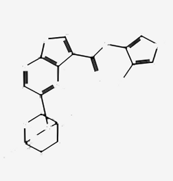 O=C(Nc1cscc1Br)c1csc2ncc(N3C[C@H]4CC[C@@H]3CN4)nc12